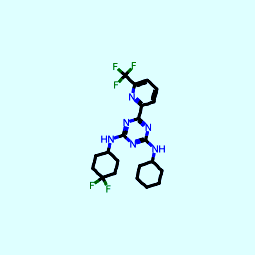 FC1(F)CCC(Nc2nc(NC3CCCCC3)nc(-c3cccc(C(F)(F)F)n3)n2)CC1